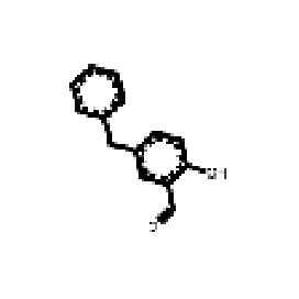 O=Cc1cc(Cc2ccccc2)ccc1O